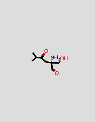 CC(C)C(=O)C[C@](N)(C=O)CO